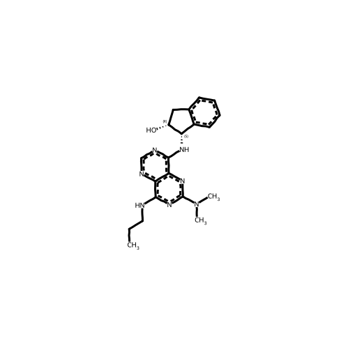 CCCNc1nc(N(C)C)nc2c(N[C@H]3c4ccccc4C[C@H]3O)ncnc12